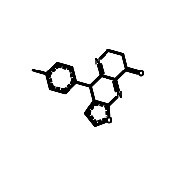 Cc1ccc(C2C3=NCCC(=O)C3=Nc3occc32)cc1